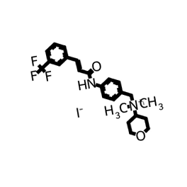 C[N+](C)(Cc1ccc(NC(=O)C=Cc2cccc(C(F)(F)F)c2)cc1)C1CCOCC1.[I-]